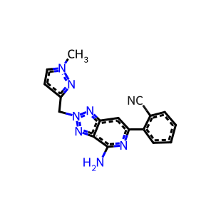 Cn1ccc(Cn2nc3cc(-c4ccccc4C#N)nc(N)c3n2)n1